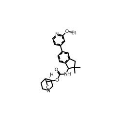 CCOc1cc(-c2ccc3c(c2)CC(C)(C)C3NC(=O)O[C@H]2CN3CCC2CC3)ccn1